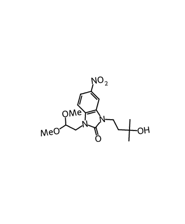 COC(Cn1c(=O)n(CCC(C)(C)O)c2cc([N+](=O)[O-])ccc21)OC